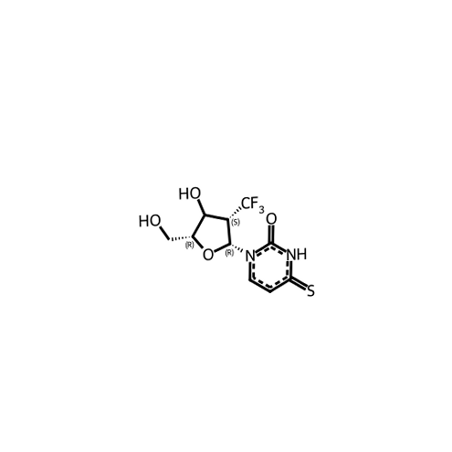 O=c1[nH]c(=S)ccn1[C@@H]1O[C@H](CO)C(O)[C@@H]1C(F)(F)F